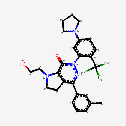 Cc1cccc(-c2nn(-c3cc(N4CCCC4)ccc3C(F)(F)F)c(=O)c3c2CCN3CCO)c1